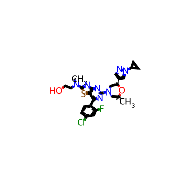 C[C@@H]1CN(c2nc(-c3ccc(Cl)cc3F)c3sc(N(C)CCO)nc3n2)C[C@H](c2cnn(C3CC3)c2)O1